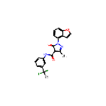 CCC(F)(F)c1cccc(NC(=O)C2C(=O)N(c3cccc4occc34)N=C2C)c1